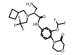 NC[C@@H](C(=O)Nc1ccc(N2CCOCC2=O)c(OC(F)F)c1)N(CC1CCC1)CC(F)(F)F